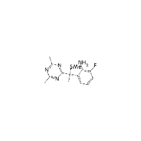 CSC(C)(c1nc(C)nc(C)n1)c1cccc(F)c1N